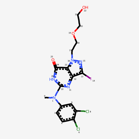 CN(c1ccc(Cl)c(Cl)c1)c1nc2c(I)nn(CCOCCO)c2c(=O)[nH]1